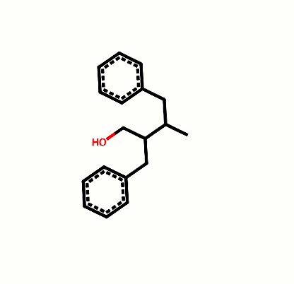 CC(Cc1ccccc1)C(CO)Cc1ccccc1